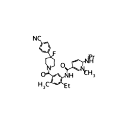 CCc1cc(C)c(C(=O)N2CCC(F)(c3ccc(C#N)cc3)CC2)cc1NC(=O)C1=CN(C)C(NC(C)C)C=C1